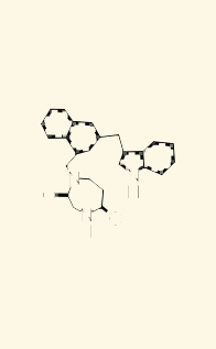 O=C1CCN(Cc2cc(Cc3c[nH]c4ccccc34)cc3ccccc23)C(=O)CN1